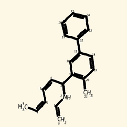 C=CNC(/C=C\C=C/C)c1cc(-c2ccccc2)ccc1C